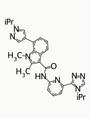 Cc1c(C(=O)Nc2cccc(-c3nncn3C(C)C)n2)c2cccc(-c3cnn(C(C)C)c3)c2n1C